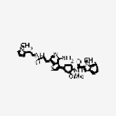 COc1cc(-c2csc3c(C=CC(=O)NCCc4cccn4C)cnc(N)c23)ccc1NC(=O)c1cc2ccccc2n1C